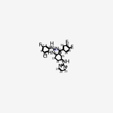 O=C(/N=C(/Nc1cc(F)cc(Cl)c1)NC1CCC(Nc2ncccn2)CC1)c1ccc(F)c(F)c1